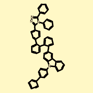 c1ccc(-c2ccc(-n3c4ccccc4c4cc(-c5ccccc5-c5ccccc5-c5ccc(-c6nnc(-c7ccccc7)n6-c6ccccc6)cc5)ccc43)cc2)cc1